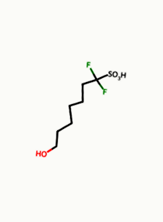 O=S(=O)(O)C(F)(F)CCCCCCO